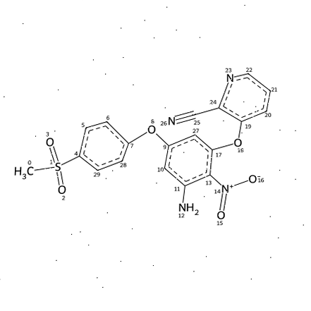 CS(=O)(=O)c1ccc(Oc2cc(N)c([N+](=O)[O-])c(Oc3cccnc3C#N)c2)cc1